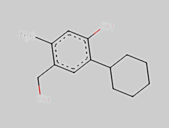 Cc1cc(O)c(C2CCCCC2)cc1CO